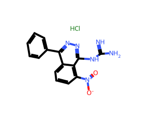 Cl.N=C(N)Nc1nnc(-c2ccccc2)c2cccc([N+](=O)[O-])c12